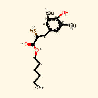 CC(C)CCCCCOC(=O)C(S)Cc1cc(C(C)(C)C)c(O)c(C(C)(C)C)c1